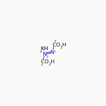 O=C(O)N=NC(=O)O.[KH]